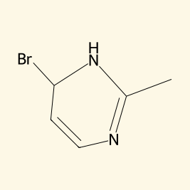 CC1=NC=CC(Br)N1